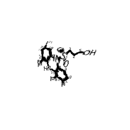 O=S(=O)(CCCO)Nc1ccc(F)c(F)c1Nc1ccc(I)cc1F